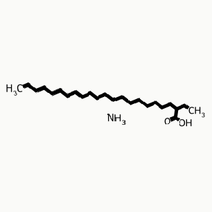 CCCCCCCCCCCCCCCCCCCCC(CC)C(=O)O.N